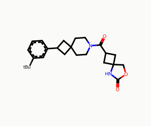 CC(C)(C)c1cccc(C2CC3(CCN(C(=O)C4CC5(COC(=O)N5)C4)CC3)C2)c1